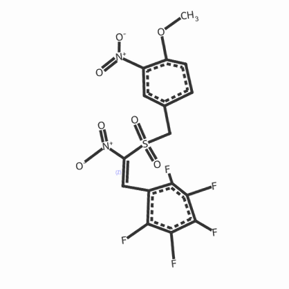 COc1ccc(CS(=O)(=O)/C(=C\c2c(F)c(F)c(F)c(F)c2F)[N+](=O)[O-])cc1[N+](=O)[O-]